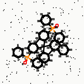 O=P(c1ccccc1)(c1ccccc1)c1ccc2c(c1)C1(c3cc(P(=O)(c4ccccc4)c4ccccc4)ccc3-2)c2ccccc2-c2c1ccc1ccccc21